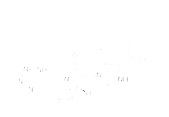 CC1(C)S[C@H]2C(N3C(=O)C(c4ccco4)NC3(C)C)C(=O)N2C1c1nnn[nH]1